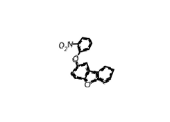 O=[N+]([O-])c1ccccc1Oc1ccc2oc3ccccc3c2c1